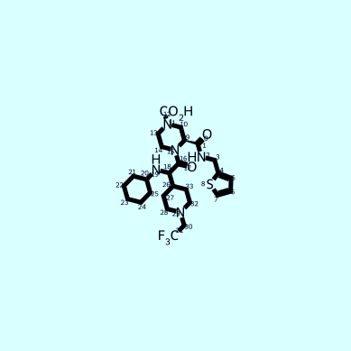 O=C(NCc1cccs1)[C@@H]1CN(C(=O)O)CCN1C(=O)C(NC1CCCCC1)C1CCN(CC(F)(F)F)CC1